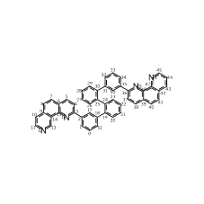 c1cc(-c2ccc3ccc4ccncc4c3n2)cc(-c2ccccc2-c2ccccc2-c2cccc(-c3ccc4ccc5cccnc5c4n3)c2)c1